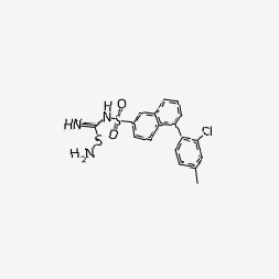 Cc1ccc(-c2cccc3cc(S(=O)(=O)NC(=N)SN)ccc23)c(Cl)c1